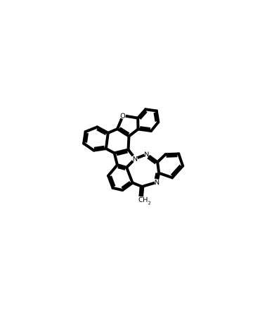 C=c1nc2ccccc2nn2c3c1cccc3c1c3ccccc3c3oc4ccccc4c3c12